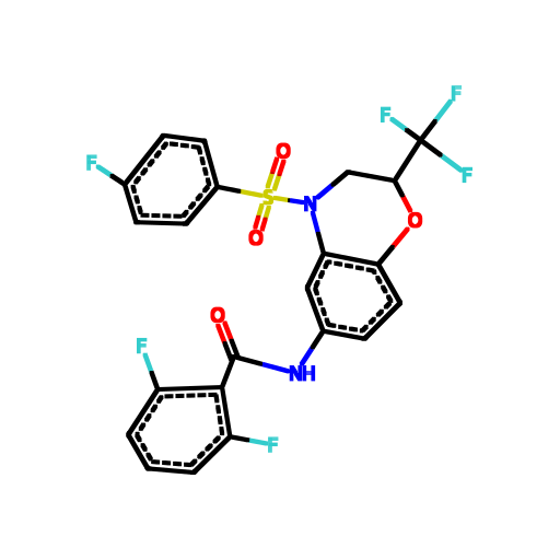 O=C(Nc1ccc2c(c1)N(S(=O)(=O)c1ccc(F)cc1)CC(C(F)(F)F)O2)c1c(F)cccc1F